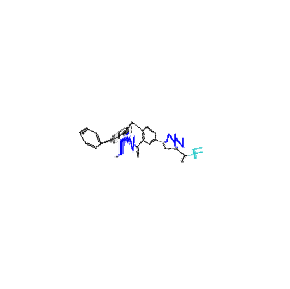 C=C1c2cc(C3=NN=C(C(C)F)C3)ccc2C[C@H](c2ccccc2)N1C